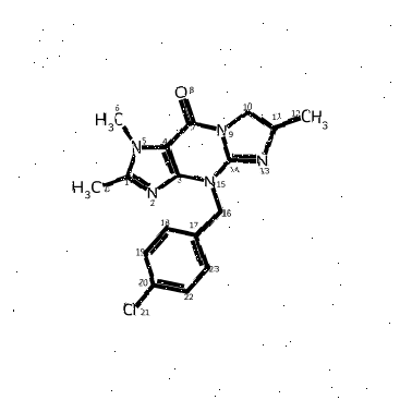 Cc1nc2c(n1C)C(=O)N1CC(C)N=C1N2Cc1ccc(Cl)cc1